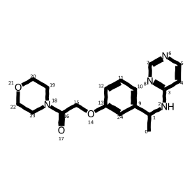 CC(Nc1ccncn1)c1cccc(OCC(=O)N2CCOCC2)c1